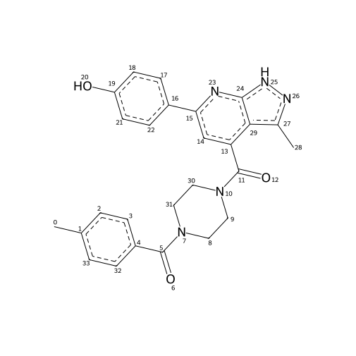 Cc1ccc(C(=O)N2CCN(C(=O)c3cc(-c4ccc(O)cc4)nc4[nH]nc(C)c34)CC2)cc1